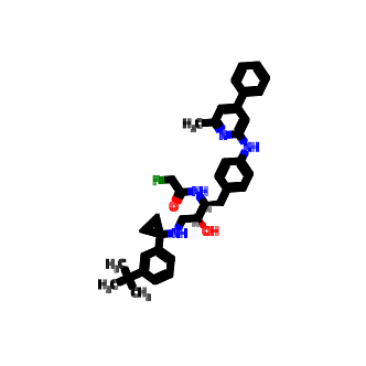 Cc1cc(-c2ccccc2)cc(Nc2ccc(C[C@H](NC(=O)CF)[C@@H](O)CNC3(c4cccc(C(C)(C)C)c4)CC3)cc2)n1